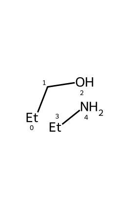 CCCO.CCN